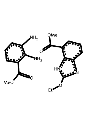 CCOc1nc2cccc(C(=O)OC)c2[nH]1.COC(=O)c1cccc(N)c1N